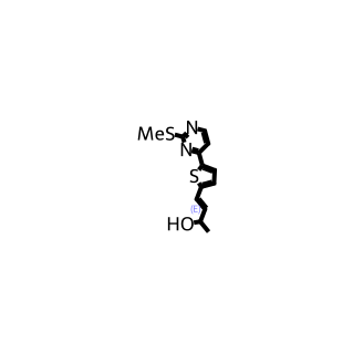 CSc1nccc(-c2ccc(/C=C/C(C)O)s2)n1